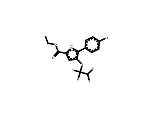 CCOC(=O)c1cc(SC(F)(F)C(F)F)c(-c2ccc(Cl)cc2)[nH]1